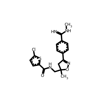 CNC(=N)c1ccc(C2=NOC(C)(CNC(=O)c3ccc(Cl)s3)C2)cc1